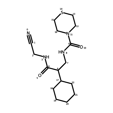 N#CCNC(=O)C(CNC(=O)N1CCSCC1)C1CCCCC1